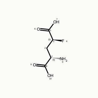 N[C@@H](C[C@H](F)C(=O)O)C(=O)O